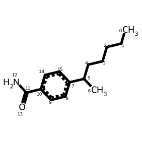 CCCCCC(C)c1ccc(C(N)=O)cc1